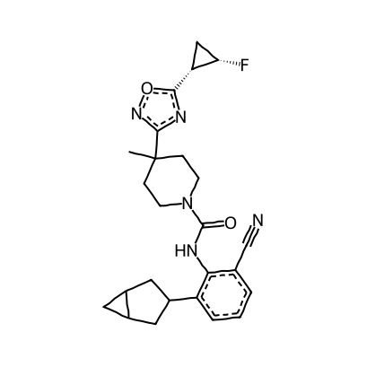 CC1(c2noc([C@@H]3C[C@@H]3F)n2)CCN(C(=O)Nc2c(C#N)cccc2C2CC3CC3C2)CC1